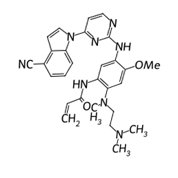 C=CC(=O)Nc1cc(Nc2nccc(-n3ccc4c(C#N)cccc43)n2)c(OC)cc1N(C)CCN(C)C